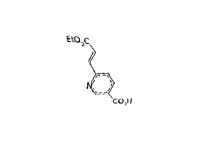 CCOC(=O)C=Cc1ccc(C(=O)O)cn1